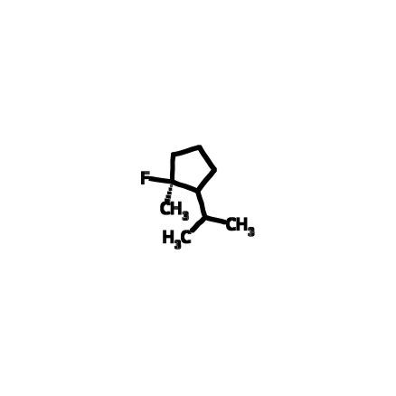 CC(C)C1CCC[C@]1(C)F